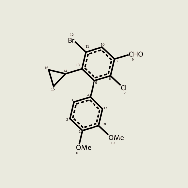 COc1ccc(-c2c(Cl)c(C=O)cc(Br)c2C2CC2)cc1OC